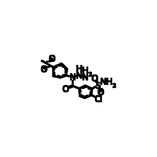 CS(=O)(=O)c1ccc(N(NN)C(=O)c2ccc(Cl)c(S(N)(=O)=O)c2)cc1